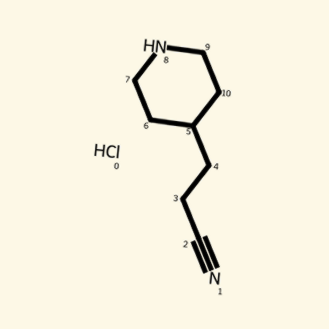 Cl.N#CCCC1CCNCC1